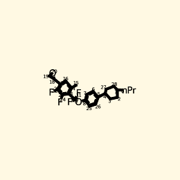 CCCC1CCC(c2ccc(OC(F)(F)c3c(C)cc(C4CO4)c(F)c3F)cc2)CC1